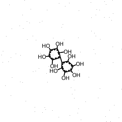 Oc1c(O)c(O)c(-c2c(O)c(O)c(O)c(O)c2O)c(O)c1O